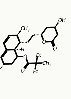 CCC(C)(CC)C(=O)O[C@H]1C[C@H](O)C=C2C=C[C@@H](C)[C@H](CC[C@@H]3C[C@@H](O)CC(=O)O3)[C@H]21